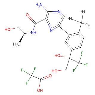 O=C(O)C(F)(F)F.[2H]C([2H])([2H])c1ccc([C@](O)(CO)C(F)(F)F)cc1-c1cnc(N)c(C(=O)N[C@@H](C)CO)n1